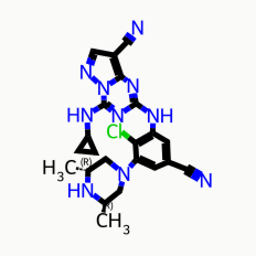 C[C@@H]1CN(c2cc(C#N)cc(Nc3nc(NC4CC4)n4ncc(C#N)c4n3)c2Cl)C[C@@H](C)N1